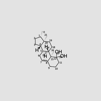 C[C@H]1CC[C@H]2[C@@H]3CC=C4CCCC(O)(O)[C@]4(C)[C@H]3CC[C@]12C